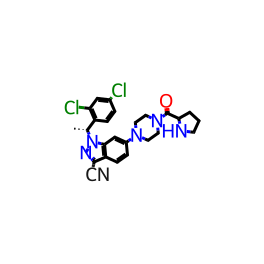 C[C@H](c1ccc(Cl)cc1Cl)n1nc(C#N)c2ccc(N3CCN(C(=O)C4CCCN4)CC3)cc21